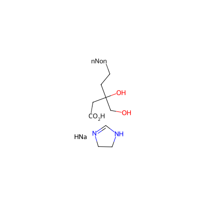 C1=NCCN1.CCCCCCCCCCCC(O)(CO)CC(=O)O.[NaH]